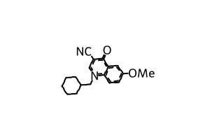 COc1ccc2c(c1)c(=O)c(C#N)cn2CC1CCCCC1